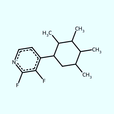 CC1CC(c2ccnc(F)c2F)C(C)C(C)C1C